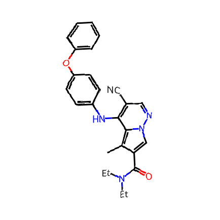 CCN(CC)C(=O)c1cn2ncc(C#N)c(Nc3ccc(Oc4ccccc4)cc3)c2c1C